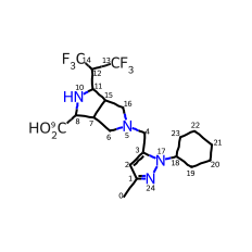 Cc1cc(CN2CC3C(C(=O)O)NC(C(C(F)(F)F)C(F)(F)F)C3C2)n(C2CCCCC2)n1